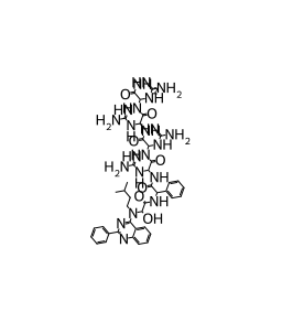 CC(C)CCN(c1nc(-c2ccccc2)nc2ccccc12)C(O)C(=O)NC(C(=O)NC(NC(=N)N)C(=O)NC(NC(=N)N)C(=O)NC(NC(=N)N)C(=O)NC(NC(=N)N)C(N)=O)c1ccccc1